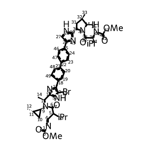 COC(=O)/N=C/C(C(=O)N([C@@H]1C[C@@H]1C)[C@@H](C)c1nc(-c2ccc(-c3ccc(-c4c[nH]c([C@@H]5C[C@@H](C)[C@@H](I)N5C(=O)[C@@H](NC(=O)OC)C(C)C)n4)cc3)cc2)c(Br)[nH]1)C(C)C